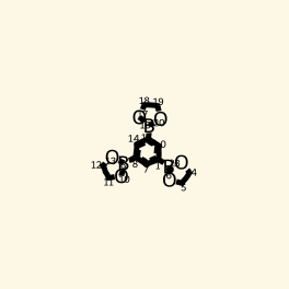 c1c(B2OCCO2)cc(B2OCCO2)cc1B1OCCO1